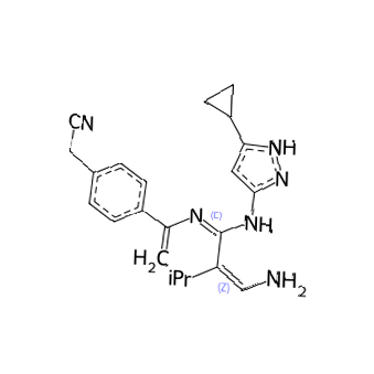 C=C(/N=C(Nc1cc(C2CC2)[nH]n1)\C(=C/N)C(C)C)c1ccc(CC#N)cc1